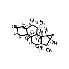 C[C@@H]1[C@H]2[C@@H]3[C@@H]4C[C@@H]4[C@H](C#N)[C@@]3(C)CC[C@@H]2[C@@]2(C)CCC(=O)C=C2[C@@H]1C